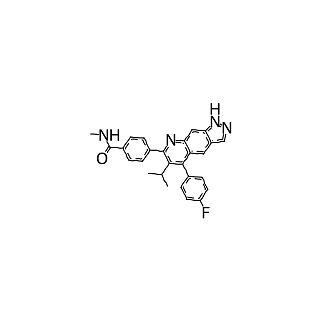 CNC(=O)c1ccc(-c2nc3cc4[nH]ncc4cc3c(-c3ccc(F)cc3)c2C(C)C)cc1